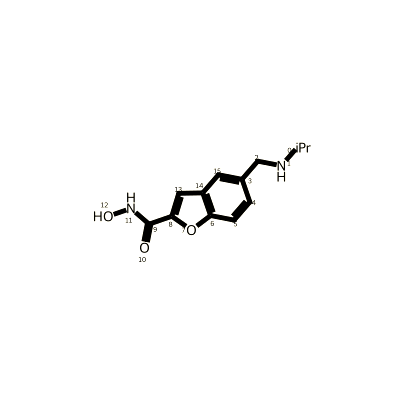 CC(C)NCc1ccc2oc(C(=O)NO)cc2c1